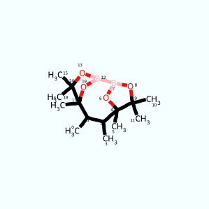 CC1C(C)C2(C)OB(OC2(C)C)B2OC(C)(C)C1(C)O2